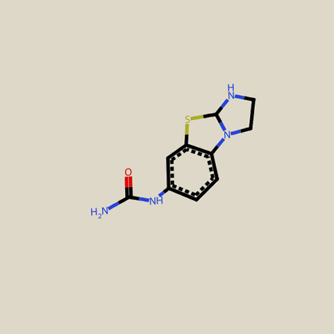 NC(=O)Nc1ccc2c(c1)SC1NCCN21